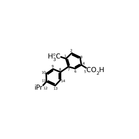 Cc1ccc(C(=O)O)cc1-c1ccc(C(C)C)cc1